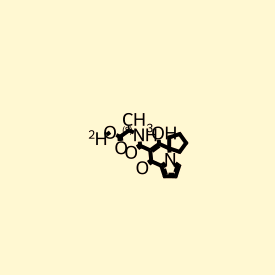 [2H]OC(=O)[C@H](C)NC(=O)C1=C(O)C2(CCCC2)n2cccc2C1=O